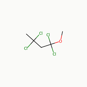 COC(Cl)(Cl)CC(C)(Cl)Cl